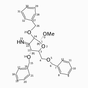 CO[C@@H]1OC(COCc2ccccc2)[C@H](OCc2ccccc2)C(=N)C1OCc1ccccc1